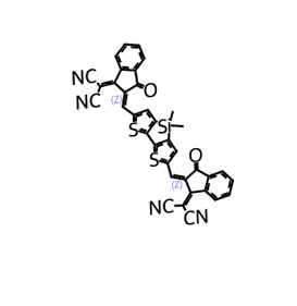 C[Si]1(C)c2cc(/C=C3\C(=O)c4ccccc4C3=C(C#N)C#N)sc2-c2sc(/C=C3\C(=O)c4ccccc4C3=C(C#N)C#N)cc21